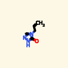 C=CCn1[c]n[nH]c1=O